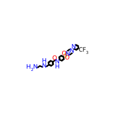 NCCCNCc1ccc(C(=O)Nc2ccc(S(=O)(=O)N3CCN(c4cc(C(F)(F)F)ccn4)CC3)cc2)cc1